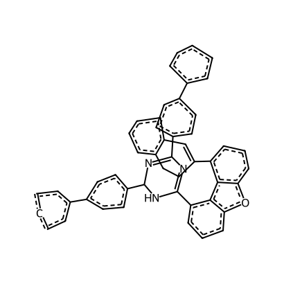 C1=C(c2cccc3oc4cccc(C5=NC(c6ccc(-c7ccccc7)cc6)=NC(c6ccc(-c7ccccc7)cc6)N5)c4c23)CCc2ccccc21